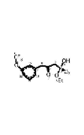 CCOP(=O)(O)CC(=O)Cc1cccc(OC(F)(F)F)c1